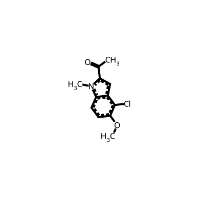 COc1ccc2c(cc(C(C)=O)n2C)c1Cl